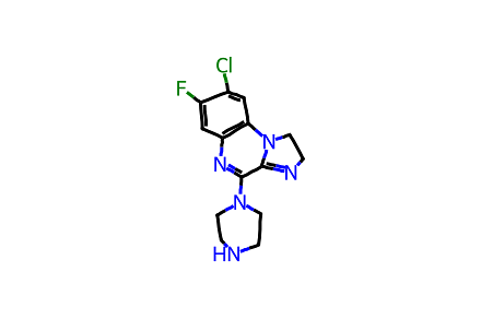 Fc1cc2c(cc1Cl)N1CCN=C1C(N1CCNCC1)=N2